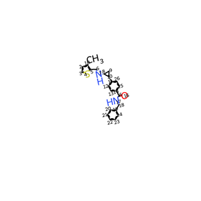 Cc1ccsc1CN[C@@H]1C[C@H]1c1ccc(C(=O)NCc2ccccc2)cc1